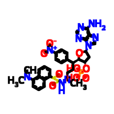 CN(CCC(c1ccc([N+](=O)[O-])cc1)[C@H]1O[C@@H](n2cnc3c(N)ncnc32)C[C@@H]1OP(=O)(O)O)NS(=O)(=O)c1cccc2c(N(C)C)cccc12